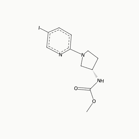 COC(=O)N[C@H]1CCN(c2ccc(I)cn2)C1